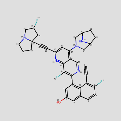 C#Cc1c(F)ccc2cc(O)cc(-c3ncc4c(N5CC6CCC(C5)N6)cc(C#CC56CCCN5CC(F)C6)nc4c3F)c12